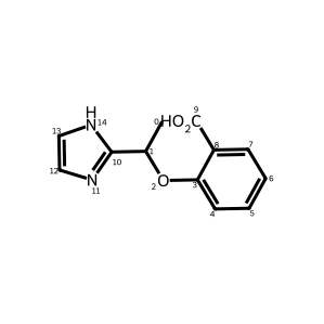 CC(Oc1ccccc1C(=O)O)c1ncc[nH]1